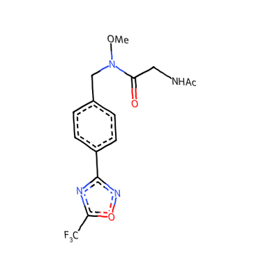 CON(Cc1ccc(-c2noc(C(F)(F)F)n2)cc1)C(=O)CNC(C)=O